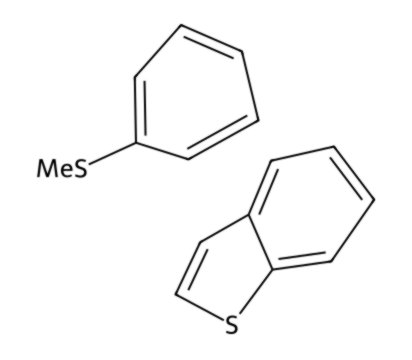 CSc1ccccc1.c1ccc2sccc2c1